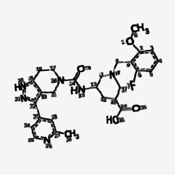 COc1cccc(F)c1CN1CC(NC(=O)N2CCc3[nH]nc(-c4ccnc(C)c4)c3C2)CC(C(=O)O)C1